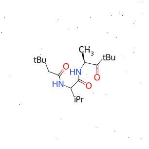 CC(C)C(NC(=O)CC(C)(C)C)C(=O)N[C@@H](C)C(=O)C(C)(C)C